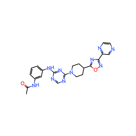 CC(=O)Nc1cccc(Nc2ncnc(N3CCC(c4nc(-c5cnccn5)no4)CC3)n2)c1